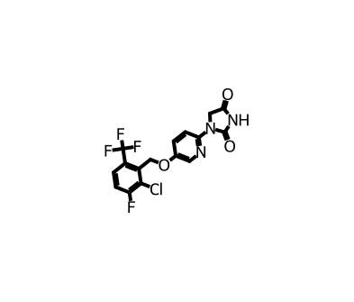 O=C1CN(c2ccc(OCc3c(C(F)(F)F)ccc(F)c3Cl)cn2)C(=O)N1